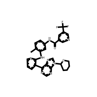 Cc1ccc(NC(=O)c2cncc(C(F)(F)F)c2)cc1Nc1ncccc1-c1ncnc2c1ncn2C1CCCCO1